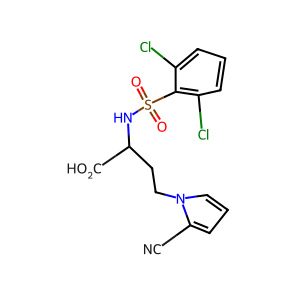 N#Cc1cccn1CCC(NS(=O)(=O)c1c(Cl)cccc1Cl)C(=O)O